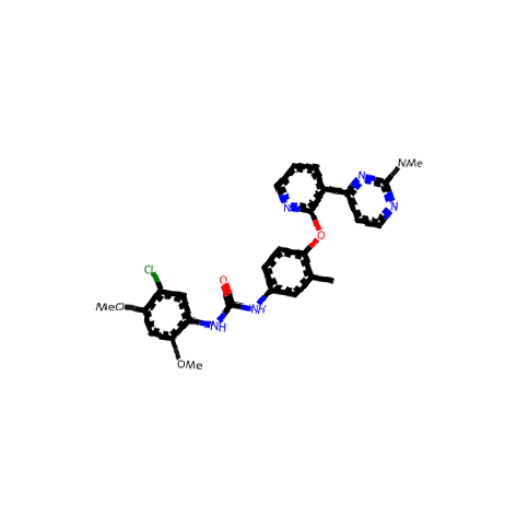 CNc1nccc(-c2cccnc2Oc2ccc(NC(=O)Nc3cc(Cl)c(OC)cc3OC)cc2C)n1